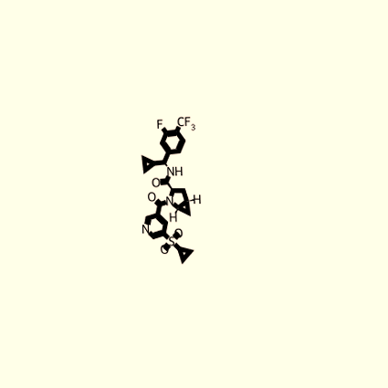 O=C(N[C@@H](c1ccc(C(F)(F)F)c(F)c1)C1CC1)[C@H]1C[C@H]2C[C@H]2N1C(=O)c1cncc(S(=O)(=O)C2CC2)c1